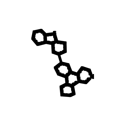 c1ccc2c(c1)sc1ccc(-c3ccc4c5ccccc5c5cnccc5c4c3)cc12